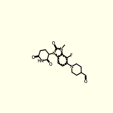 Cn1c(=O)n(C2CCC(=O)NC2=O)c2ccc(N3CCC(C=O)CC3)c(F)c21